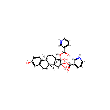 C[C@]12CC[C@@H]3c4ccc(O)cc4CC[C@H]3[C@@H]1C[C@@](O)(OC(=O)c1cccnc1)[C@]2(O)OC(=O)c1cccnc1